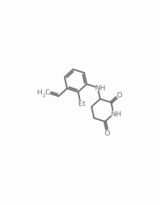 C=Cc1cccc(NC2CCC(=O)NC2=O)c1CC